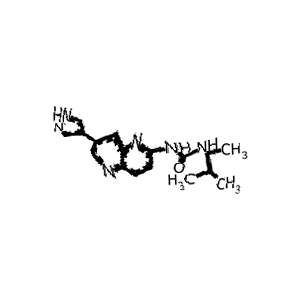 CC(C)C(C)NC(=O)Nc1ccc2ncc(-c3cn[nH]c3)cc2n1